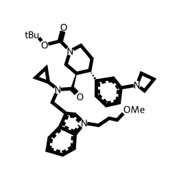 COCCCn1cc(CN(C(=O)[C@H]2CN(C(=O)OC(C)(C)C)CC[C@@H]2c2cccc(N3CCC3)c2)C2CC2)c2ccccc21